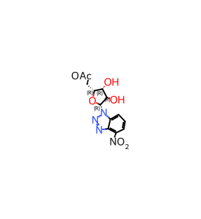 CC(=O)OC[C@H]1O[C@@H](n2nnc3c([N+](=O)[O-])cccc32)[C@H](O)[C@H]1O